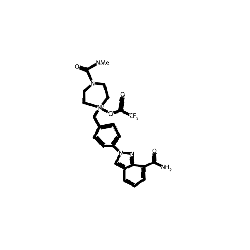 CNC(=O)N1CC[N+](Cc2ccc(-n3cc4cccc(C(N)=O)c4n3)cc2)(OC(=O)C(F)(F)F)CC1